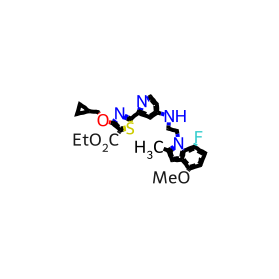 CCOC(=O)c1sc(-c2cc(NCCn3c(C)cc4c(OC)ccc(F)c43)ccn2)nc1OCC1CC1